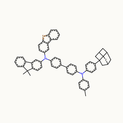 Cc1ccc(N(c2ccc(-c3ccc(N(c4ccc5c(c4)-c4ccccc4C5(C)C)c4ccc5sc6ccccc6c5c4)cc3)cc2)c2ccc(C34CC5CC6CC(C3)C64C5)cc2)cc1